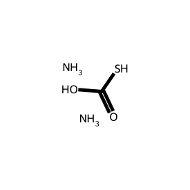 N.N.O=C(O)S